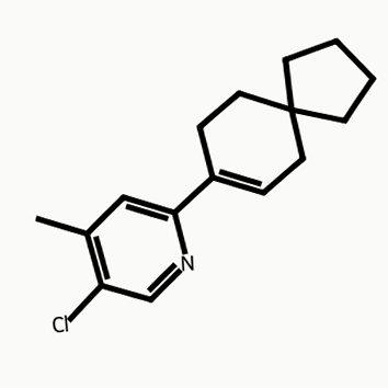 Cc1cc(C2=CCC3(CCCC3)CC2)ncc1Cl